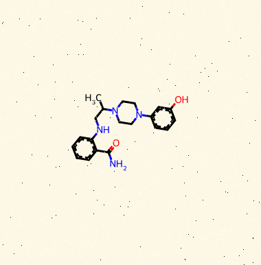 CC(CNc1ccccc1C(N)=O)N1CCN(c2cccc(O)c2)CC1